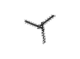 CCCCCCCCCCCSc1cc(SCCCCCCCCCCC)cc(SCCCCCCCCCCC)c1